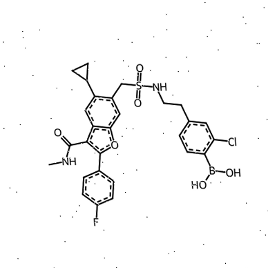 CNC(=O)c1c(-c2ccc(F)cc2)oc2cc(CS(=O)(=O)NCCc3ccc(B(O)O)c(Cl)c3)c(C3CC3)cc12